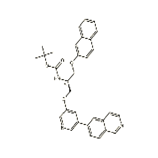 CC(C)(C)OC(=O)N[C@H](COc1cncc(-c2ccc3cnccc3c2)c1)COc1ccc2ccccc2c1